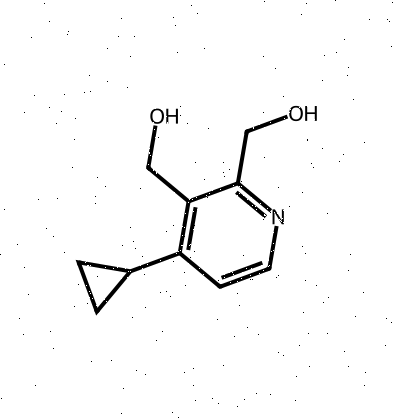 OCc1nccc(C2CC2)c1CO